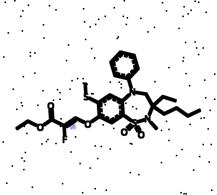 CCCCC1(CC)CN(c2ccccc2)c2cc(SC)c(O/C=C(\F)C(=O)OCC)cc2S(=O)(=O)N1C